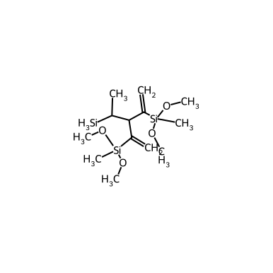 C=C(C(C(=C)[Si](C)(OC)OC)C(C)[SiH3])[Si](C)(OC)OC